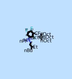 CCCCC(CC)CC[NH+](CCC)c1cc(F)c(F)c(C(F)(F)F)c1F.CCCCCCCC[B-](CCCCCCCC)(CCCCCCCC)CCCCCCCC